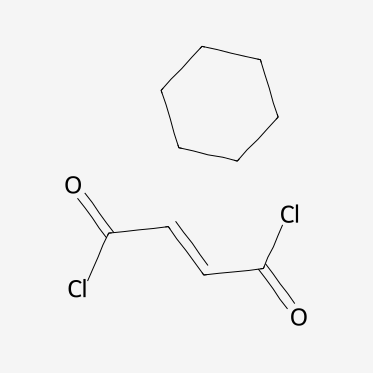 C1CCCCC1.O=C(Cl)/C=C/C(=O)Cl